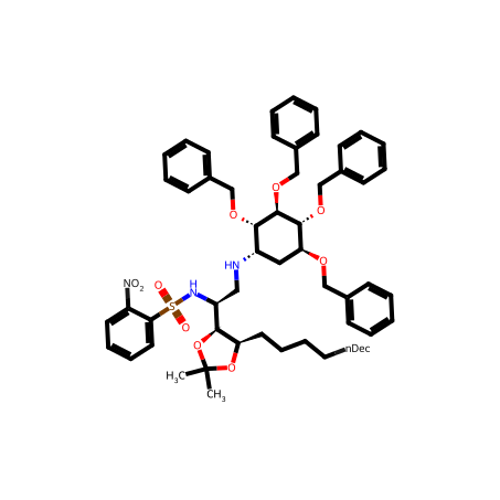 CCCCCCCCCCCCCC[C@H]1OC(C)(C)O[C@H]1[C@H](CN[C@H]1C[C@H](OCc2ccccc2)[C@@H](OCc2ccccc2)[C@H](OCc2ccccc2)[C@H]1OCc1ccccc1)NS(=O)(=O)c1ccccc1[N+](=O)[O-]